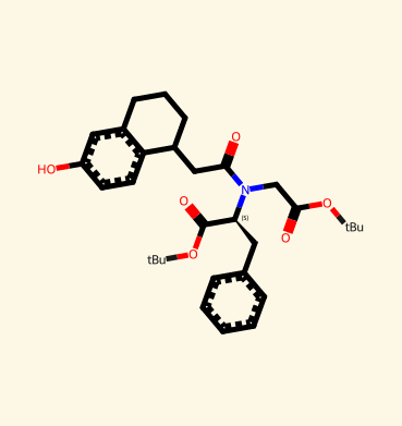 CC(C)(C)OC(=O)CN(C(=O)CC1CCCc2cc(O)ccc21)[C@@H](Cc1ccccc1)C(=O)OC(C)(C)C